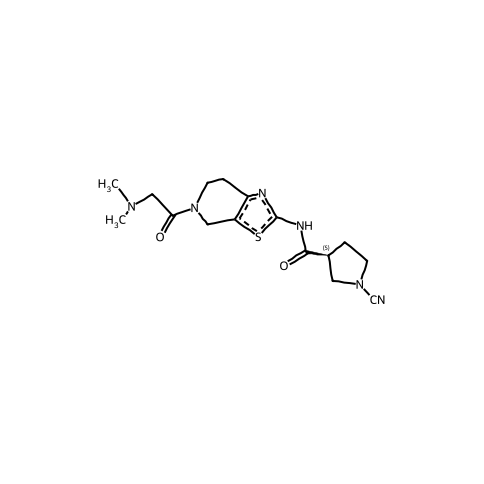 CN(C)CC(=O)N1CCc2nc(NC(=O)[C@H]3CCN(C#N)C3)sc2C1